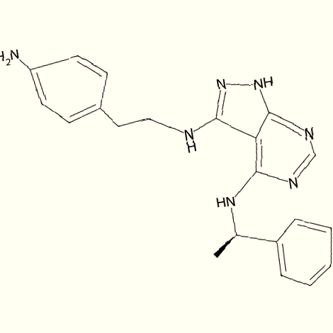 C[C@@H](Nc1ncnc2[nH]nc(NCCc3ccc(N)cc3)c12)c1ccccc1